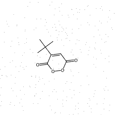 CC(C)(C)c1cc(=O)ooc1=O